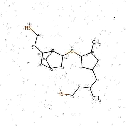 CC(CCS)CC1CC(C)C(SC2CC3CC(CCS)C2C3)C1